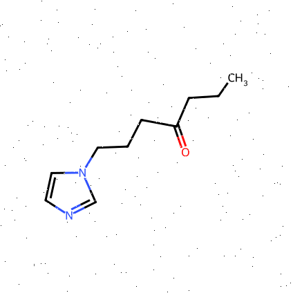 CCCC(=O)CCCn1ccnc1